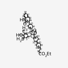 Bc1cc(C[C@@H](OC(=O)N2CCC(N3CCc4ccccc4NC3=O)CC2)C(=O)N2CCC(C3CCN(CCC(=O)OCC)CC3)CC2)cc(C)c1O